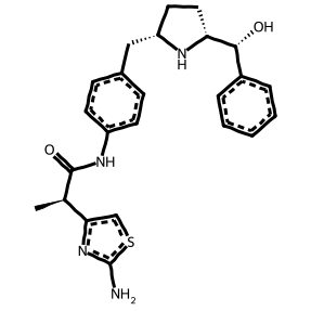 C[C@@H](C(=O)Nc1ccc(C[C@@H]2CC[C@H]([C@H](O)c3ccccc3)N2)cc1)c1csc(N)n1